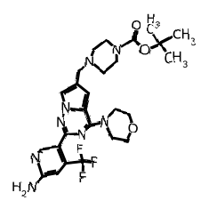 CC(C)(C)OC(=O)N1CCN(Cc2cc3c(N4CCOCC4)nc(-c4cnc(N)cc4C(F)(F)F)nn3c2)CC1